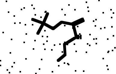 C=C(CCC(C)(C)C)NCCC